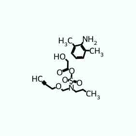 C#CCOCN(CCC)S(=O)(=O)OC(=O)CO.Cc1cccc(C)c1N